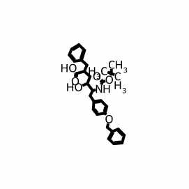 CC(C)(C)OC(=O)NC(Cc1ccc(OCc2ccccc2)cc1)C(O)CC(Cc1ccccc1)C(=O)O